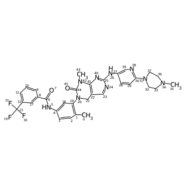 Cc1ccc(NC(=O)c2cccc(C(F)(F)F)c2)cc1N1Cc2cnc(Nc3ccc(N4CCN(C)CC4)nc3)nc2N(C)C1=O